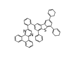 C1=CCCC(c2cc(C3=CCCC=C3)c3sc4c(-c5ccccc5)cc(-c5ccccc5-c5cnc6c7ccccc7c7ccccc7c6n5)cc4c3c2)=C1